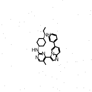 CCN[C@H]1CC[C@H](Nc2ncc(C)c(-c3cnc4ccc(-c5ccccc5)cn34)n2)CC1